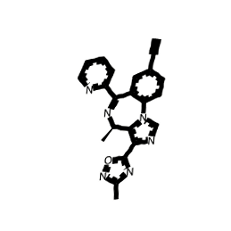 C#Cc1ccc2c(c1)C(c1ccccn1)=N[C@H](C)c1c(-c3nc(C)no3)ncn1-2